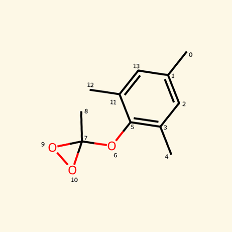 Cc1cc(C)c(OC2(C)OO2)c(C)c1